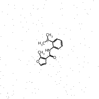 CB(C)c1ccccc1NC(=O)c1ccoc1C